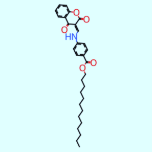 CCCCCCCCCCCCCOC(=O)c1ccc(NC=C2C(=O)Oc3ccccc3C2=O)cc1